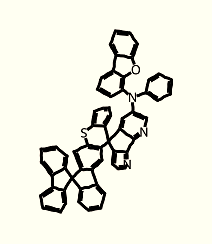 c1ccc(N(c2cnc3c(c2)C2(c4ccccc4Sc4cc5c(cc42)-c2ccccc2C52c4ccccc4-c4ccccc42)c2cccnc2-3)c2cccc3c2oc2ccccc23)cc1